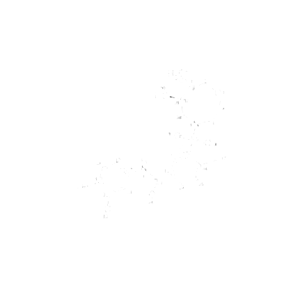 C[C@@H]1COCCN(S(=O)(=O)c2cc(C(=O)Nc3ccc(F)c(Cl)c3)ccc2F)C[C@H]1O